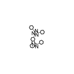 c1ccc(-c2nc(-c3ccccc3)nc(-c3ccc4c(c3)c3c(-c5ccccc5)nc5cccc4n53)n2)cc1